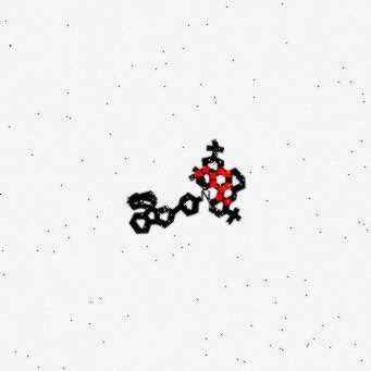 CC(C)(C)c1cc(-c2cccc3cccc(-c4ccccc4N(c4ccc(-c5ccc6c(c5)C5(c7ccccc7-6)C6CC7CC(C6)C5C7)cc4)c4ccc(C(C)(C)C)cc4-c4ccccc4)c23)cc(C(C)(C)C)c1